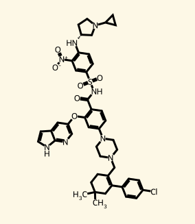 CC1(C)CCC(CN2CCN(c3ccc(C(=O)NS(=O)(=O)c4ccc(N[C@@H]5CCN(C6CC6)C5)c([N+](=O)[O-])c4)c(Oc4cnc5[nH]ccc5c4)c3)CC2)=C(c2ccc(Cl)cc2)C1